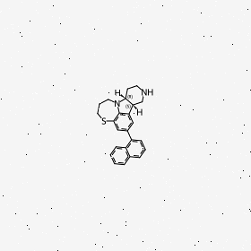 c1ccc2c(-c3cc4c5c(c3)[C@H]3CNCC[C@H]3N5CCCS4)cccc2c1